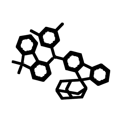 Cc1cc(C)cc(N(c2ccc3c(c2)C2(c4ccccc4-3)C3CC4CC(C3)CC2C4)c2cccc3c2-c2ccccc2[Si]3(C)C)c1